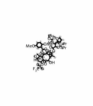 COc1ccc(OC)c(C(=O)O[C@H]2[C@@H]3[C@]4(OC(C)=O)CO[C@@H]4C[C@H](OS(=O)(=O)C(F)(F)F)[C@@]3(C)C(=O)[C@H](O)C3=C(C)[C@@H](OC(=O)[C@H](O[Si](C(C)C)(C(C)C)C(C)C)[C@@H](NC(=O)OC(C)(C)C)c4ccco4)C[C@]2(O)C3(C)C)c1